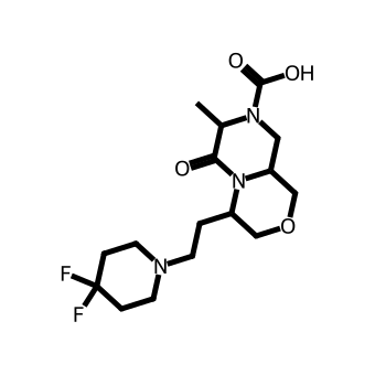 CC1C(=O)N2C(CCN3CCC(F)(F)CC3)COCC2CN1C(=O)O